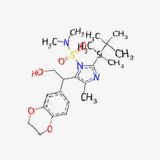 Cc1nc([Si](C)(C)C(C)(C)C)n(S(=O)(=O)N(C)C)c1C(CO)c1ccc2c(c1)OCCO2